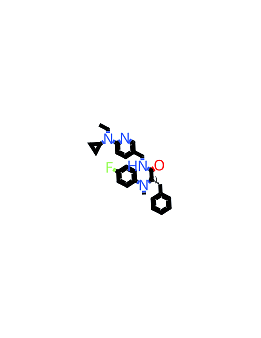 CCN(c1ccc(CNC(=O)[C@H](Cc2ccccc2)N(C)c2ccc(F)cc2)cn1)C1CC1